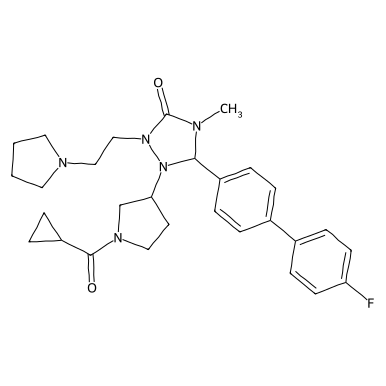 CN1C(=O)N(CCN2CCCC2)N(C2CCN(C(=O)C3CC3)C2)C1c1ccc(-c2ccc(F)cc2)cc1